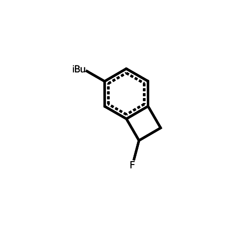 CCC(C)c1ccc2c(c1)C(F)C2